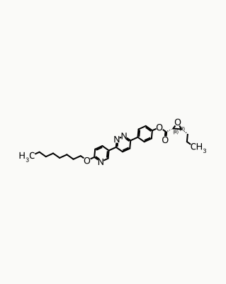 CCCCCCCCOc1ccc(-c2ccc(-c3ccc(OC(=O)[C@@H]4O[C@@H]4CCC)cc3)nn2)cn1